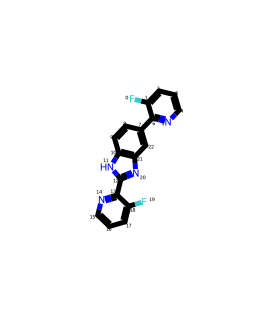 Fc1cccnc1-c1ccc2[nH]c(-c3ncccc3F)nc2c1